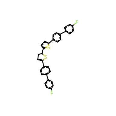 Fc1ccc(-c2ccc(C3=CCC(c4ccc(-c5ccc(-c6ccc(F)cc6)cc5)s4)S3)cc2)cc1